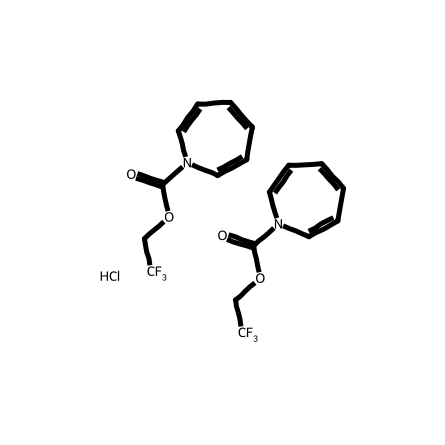 Cl.O=C(OCC(F)(F)F)N1C=CC=CC=C1.O=C(OCC(F)(F)F)N1C=CC=CC=C1